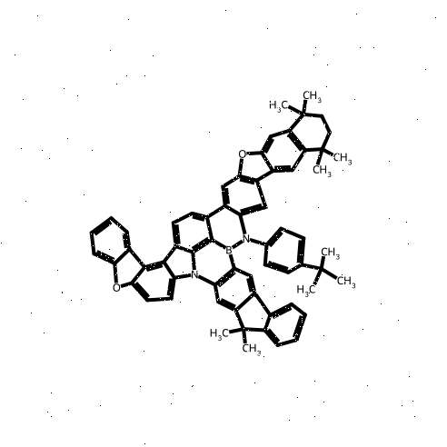 CC(C)(C)c1ccc(N2B3c4cc5c(cc4-n4c6ccc7oc8ccccc8c7c6c6ccc(c3c64)-c3cc4oc6cc7c(cc6c4cc32)C(C)(C)CCC7(C)C)C(C)(C)c2ccccc2-5)cc1